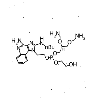 CCCCNc1nc2c(N)nc3ccccc3c2n1CCOP(OCCO)OC[C@@H](COCN)OCN